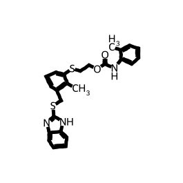 Cc1ccccc1NC(=O)OCCSc1cccc(CSc2nc3ccccc3[nH]2)c1C